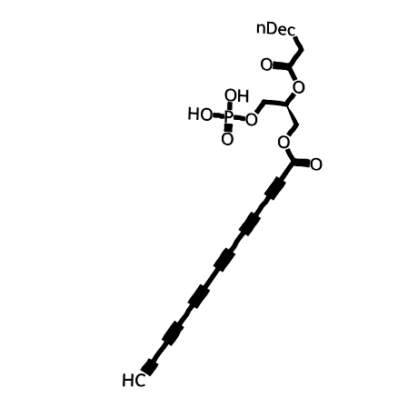 C#CC#CC#CC#CC#CC#CC(=O)OC[C@@H](COP(=O)(O)O)OC(=O)CCCCCCCCCCC